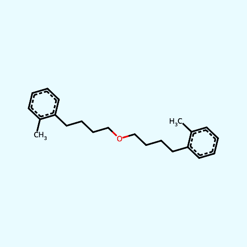 Cc1ccccc1CCCCOCCCCc1ccccc1C